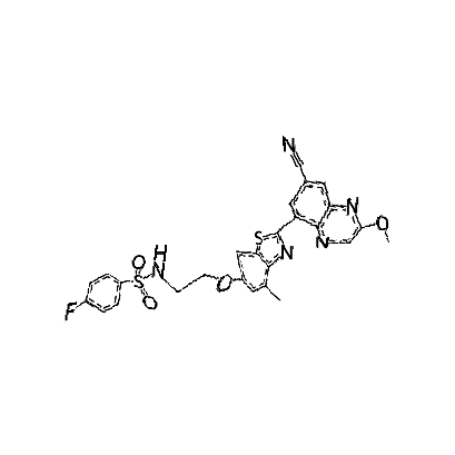 COc1cnc2c(-c3nc4c(C)cc(OCCNS(=O)(=O)c5ccc(F)cc5)cc4s3)cc(C#N)cc2n1